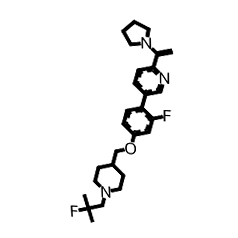 C=C(c1ccc(-c2ccc(OCC3CCN(CC(C)(C)F)CC3)cc2F)cn1)N1CCCC1